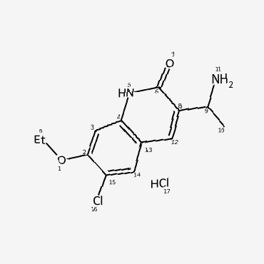 CCOc1cc2[nH]c(=O)c(C(C)N)cc2cc1Cl.Cl